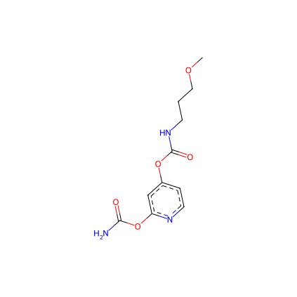 COCCCNC(=O)Oc1ccnc(OC(N)=O)c1